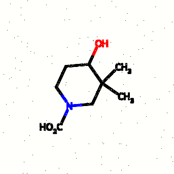 CC1(C)CN(C(=O)O)CCC1O